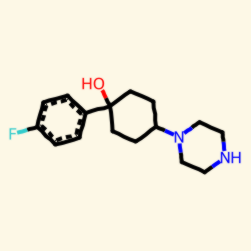 OC1(c2ccc(F)cc2)CCC(N2CCNCC2)CC1